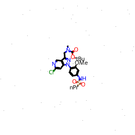 CCCS(=O)(=O)Nc1ccc(-n2nc(CN(C)C(=O)OC(C)(C)C)c3cnc(Cl)cc32)c(OC)c1